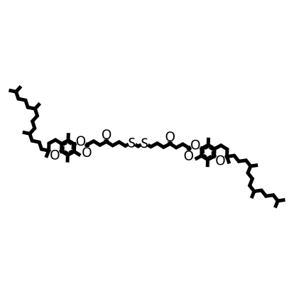 Cc1c(C)c2c(c(C)c1OC(=O)CCC(=O)CCCSCSCCCC(=O)CCC(=O)Oc1c(C)c(C)c3c(c1C)CCC(C)(CCCC(C)CCCC(C)CCCC(C)C)O3)CCC(C)(CCCC(C)CCCC(C)CCCC(C)C)O2